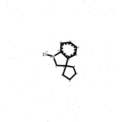 CCN1CC2(CCCC2)c2ccccc21